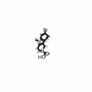 Cn1c2c(c3ccc(Br)cc31)CN(C(=O)O)CC2